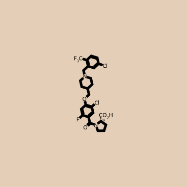 O=C(O)[C@@H]1CCCN1C(=O)c1cc(Cl)c(OCC2CCN(Cc3cc(Cl)ccc3C(F)(F)F)CC2)cc1F